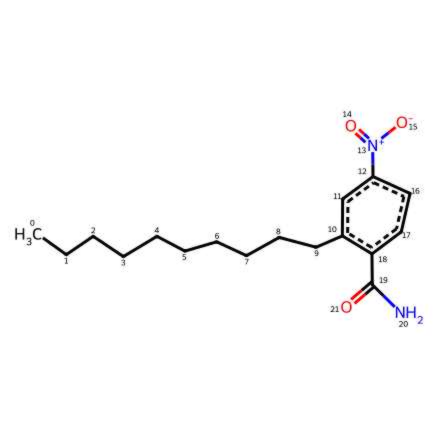 CCCCCCCCCCc1cc([N+](=O)[O-])ccc1C(N)=O